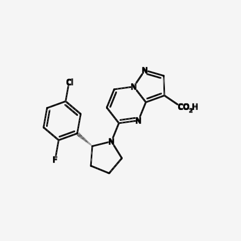 O=C(O)c1cnn2ccc(N3CCC[C@@H]3c3cc(Cl)ccc3F)nc12